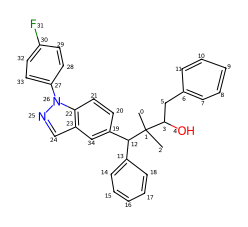 CC(C)(C(O)Cc1ccccc1)C(c1ccccc1)c1ccc2c(cnn2-c2ccc(F)cc2)c1